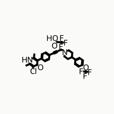 Cc1[nH]c(C)c(-c2ccc(C#CCN3CCC(c4ccc(OC(F)(F)F)cc4)CC3)cc2)c(=O)c1Cl.O=C(O)C(F)(F)F